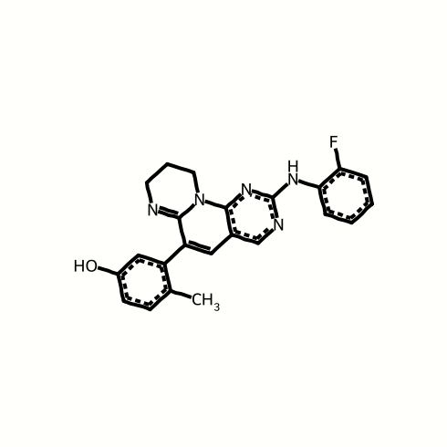 Cc1ccc(O)cc1C1=Cc2cnc(Nc3ccccc3F)nc2N2CCCN=C12